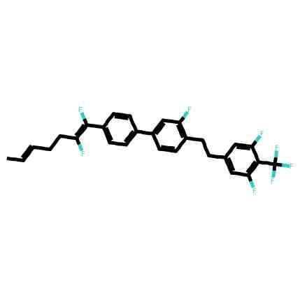 C/C=C/CC/C(F)=C(\F)c1ccc(-c2ccc(CCc3cc(F)c(C(F)(F)F)c(F)c3)c(F)c2)cc1